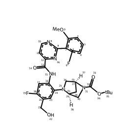 COc1cccc(F)c1-c1nccc(C(=O)Nc2cc(F)c(CO)cc2N2C[C@@H]3C[C@H]2CN3C(=O)OC(C)(C)C)n1